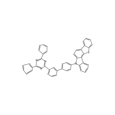 c1ccc(-c2nc(-c3ccccc3)nc(-c3cccc(-c4ccc(-n5c6ccccc6c6c7sc8ccccc8c7ccc65)cc4)c3)n2)cc1